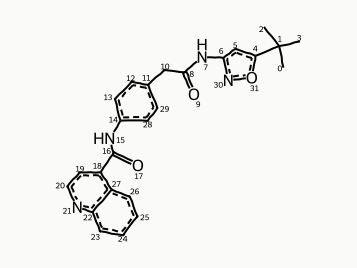 CC(C)(C)c1cc(NC(=O)Cc2ccc(NC(=O)c3ccnc4ccccc34)cc2)no1